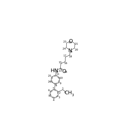 CCc1ccccc1-c1ccc(NC(=O)CCCCN2CCOCC2)cc1